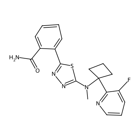 CN(c1nnc(-c2ccccc2C(N)=O)s1)C1(c2ncccc2F)CCC1